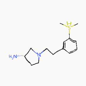 C[SH](C)c1cccc(CCN2CC[C@H](N)C2)c1